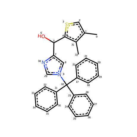 Cc1csc(C(O)c2cn(C(c3ccccc3)(c3ccccc3)c3ccccc3)cn2)c1C